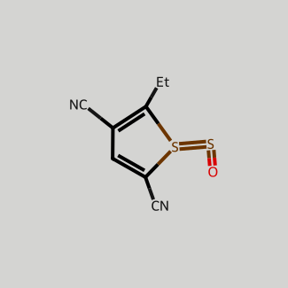 CCC1=C(C#N)C=C(C#N)S1=S=O